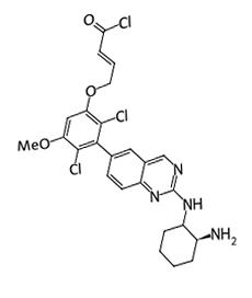 COc1cc(OC/C=C/C(=O)Cl)c(Cl)c(-c2ccc3nc(NC4CCCC[C@@H]4N)ncc3c2)c1Cl